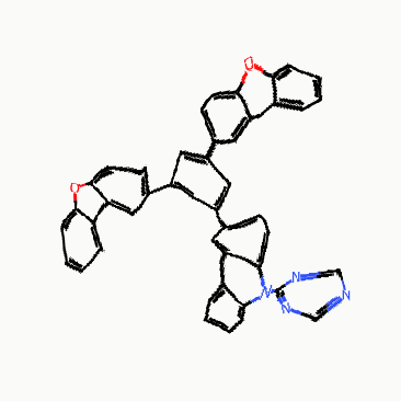 c1ccc2c(c1)oc1ccc(-c3cc(-c4ccc5oc6ccccc6c5c4)cc(-c4ccc5c(c4)c4ccccc4n5-c4ncncn4)c3)cc12